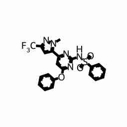 Cn1nc(C(F)(F)F)cc1-c1cc(Oc2ccccc2)nc(NS(=O)(=O)c2ccccc2)n1